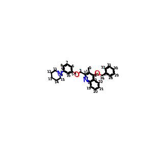 Cc1c(COc2cccc(N3CCCCC3)c2)nc2ccccc2c1OCc1ccccc1